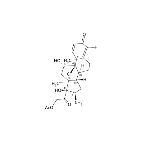 CC(=O)OCC(=O)[C@@]1(O)[C@H](C)C[C@H]2[C@@H]3CCC4=C(F)C(=O)C=C[C@]4(C)[C@@]3(Cl)[C@@H](O)C[C@@]21C